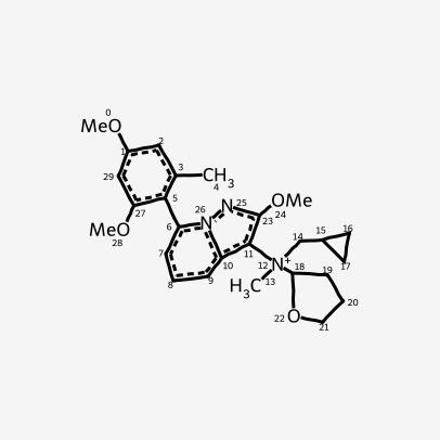 COc1cc(C)c(-c2cccc3c([N+](C)(CC4CC4)C4CCCO4)c(OC)nn23)c(OC)c1